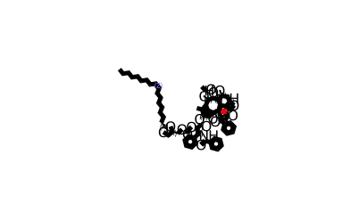 CCCCCCCC/C=C\CCCCCCC[C@@H]1OC[C@H](COC(=O)O[C@@H](C(=O)O[C@H]2C[C@@]3(O)[C@@H](OC(=O)c4ccccc4)[C@@H]4[C@]5(OC(C)=O)CO[C@@H]5C[C@H](O)[C@@]4(C)C(=O)[C@H](OC(C)=O)C(=C2C)C3(C)C)[C@@H](NC(=O)c2ccccc2)c2ccccc2)O1